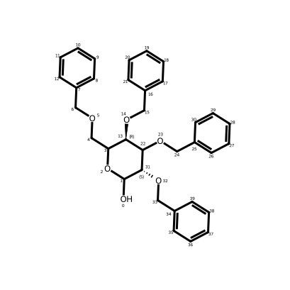 OC1OC(COCc2ccccc2)[C@@H](OCc2ccccc2)C(OCc2ccccc2)[C@@H]1OCc1ccccc1